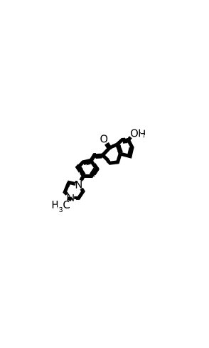 CN1CCN(c2ccc(/C=C3\CCc4ccc(O)cc4C3=O)cc2)CC1